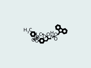 CCOC(=O)C(CNC(=O)OCC1c2ccccc2-c2ccccc21)Cc1ccc(OS(=O)(=O)c2ccc(C)cc2)cc1